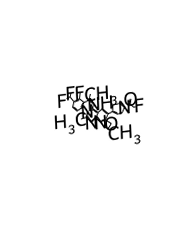 CCOc1nc2nc(C)nc(N[C@H](C)c3cccc(C(F)F)c3F)c2cc1C1=CCN(C(=O)CF)CC1